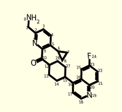 NCc1ccc(C2CC2)c(C(=O)C2CCC(c3ccnc4ccc(F)cc34)CC2)n1